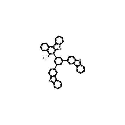 Cc1c(-c2cc(-c3ccc4sc5ccccc5c4c3)cc(-c3ccc4sc5ccccc5c4c3)c2)c2oc3ccccc3c2c2ccccc12